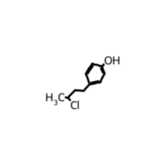 CC(Cl)CCc1ccc(O)cc1